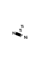 [Ni].[P]#[Ni].[Ti].[Ti]